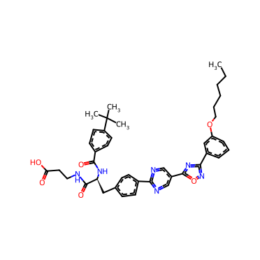 CCCCCCOc1cccc(-c2noc(-c3cnc(-c4ccc(C[C@H](NC(=O)c5ccc(C(C)(C)C)cc5)C(=O)NCCC(=O)O)cc4)nc3)n2)c1